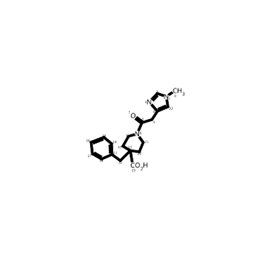 Cn1cnc(CC(=O)N2CCC(Cc3ccccc3)(C(=O)O)CC2)c1